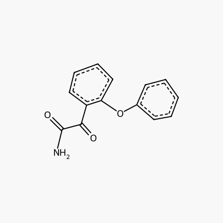 NC(=O)C(=O)c1ccccc1Oc1ccccc1